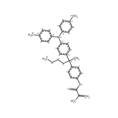 C=C(C)C(=O)Oc1ccc(C(C)(CCCC)c2ccc(N(c3ccc(C)cc3)c3ccc(C)cc3)cc2)cc1